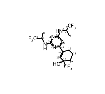 CC(Nc1nc(NC(C)C(F)(F)F)nc(C2=CC(O)(C(F)(F)F)CCC2)n1)C(F)(F)F